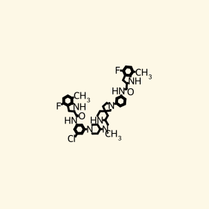 Cc1ccc(F)c2c1NC(C(=O)Nc1cc(Cl)cc(N3CCC(N(C)CC4CC5(CCN4)CCN(c4cccc(NC(=O)C6Cc7c(F)ccc(C)c7N6)c4)C5)CC3)c1)C2